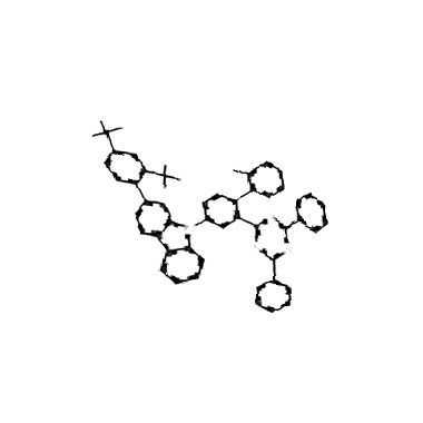 Fc1ccccc1-c1ccc(-n2c3ccccc3c3ccc(-c4ccc(C(F)(F)F)cc4C(F)(F)F)cc32)cc1-c1nc(-c2ccccc2)nc(-c2ccccc2)n1